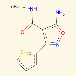 CCCCNC(=O)c1c(-c2cccs2)noc1N